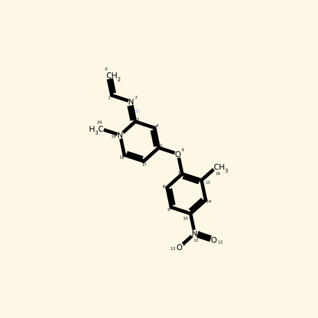 C=C/N=c1/cc(Oc2ccc([N+](=O)[O-])cc2C)ccn1C